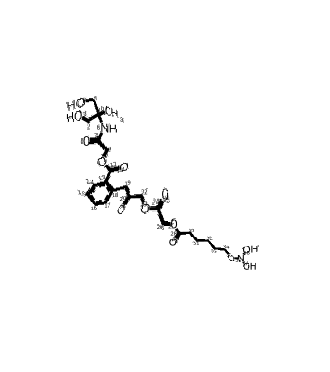 CC(CO)(CO)NC(=O)COC(=O)c1ccccc1CC(=O)COC(=O)COC(=O)CCCCCON(O)O